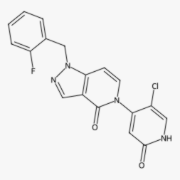 O=c1cc(-n2ccc3c(cnn3Cc3ccccc3F)c2=O)c(Cl)c[nH]1